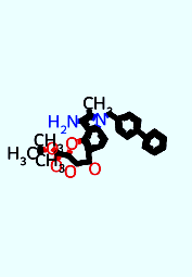 Cc1c(N)c2c3c(ccc2n1Cc1ccc(-c2ccccc2)cc1)C(=O)C(=O)C(C(=O)OC(C)(C)C)O3